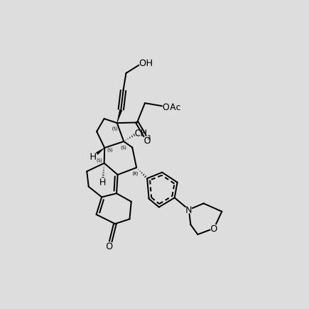 CC(=O)OCC(=O)[C@@]1(C#CCO)CC[C@H]2[C@@H]3CCC4=CC(=O)CCC4=C3[C@@H](c3ccc(N4CCOCC4)cc3)C[C@@]21C